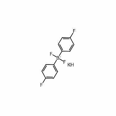 Fc1ccc([B-](F)(F)c2ccc(F)cc2)cc1.[KH]